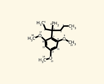 CCCC(P)(CC)c1c(OC)cc(OC)cc1OC